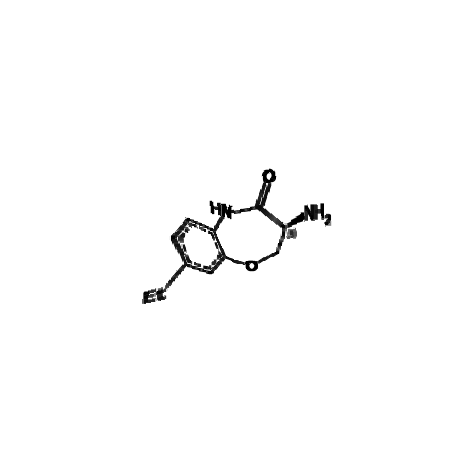 CCc1ccc2c(c1)OC[C@H](N)C(=O)N2